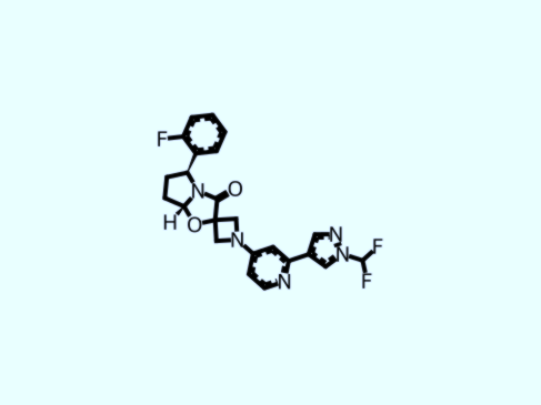 O=C1N2[C@@H](CC[C@H]2c2ccccc2F)OC12CN(c1ccnc(-c3cnn(C(F)F)c3)c1)C2